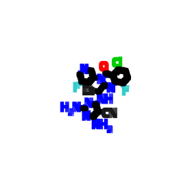 CCC(Nc1nc(N)nc(N)c1C#N)c1nc2c(F)ccc(Cl)c2c(=O)n1-c1cncc(F)c1